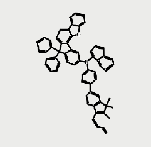 C=C/C=C\C1=C(C)C(C)(C)c2cc(-c3ccc(N(c4ccc5c(c4)-c4c(ccc6c4oc4ccccc46)C5(c4ccccc4)c4ccccc4)c4cccc5ccccc45)cc3)ccc21